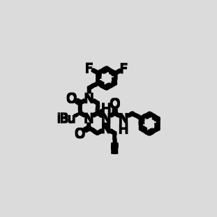 C#CCN1CC(=O)N2[C@@H](C(C)CC)C(=O)N(Cc3ccc(F)cc3F)C[C@@H]2N1C(=O)NCc1ccccc1